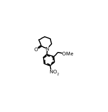 COCc1cc([N+](=O)[O-])ccc1N1CCCCC1=O